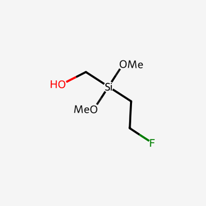 CO[Si](CO)(CCF)OC